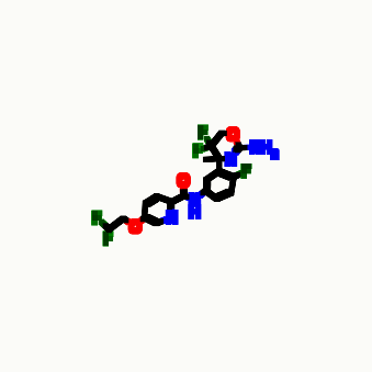 CC1(c2cc(NC(=O)c3ccc(OCC(F)F)cn3)ccc2F)N=C(N)OCC1(F)F